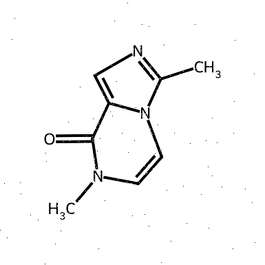 Cc1ncc2c(=O)n(C)ccn12